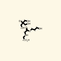 CCC(CO)(CO)CO.O=C(O)CNCC(=O)OCCCO